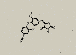 COc1cc(/C=C2/SC(=O)NC2=O)ccc1Oc1ccc(C#N)cc1Br